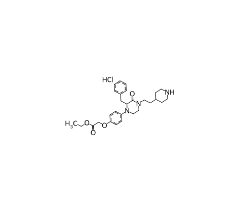 CCOC(=O)COc1ccc(N2CCN(CCC3CCNCC3)C(=O)C2Cc2ccccc2)cc1.Cl